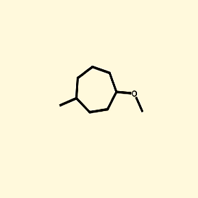 COC1CCCC(C)CC1